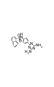 Nc1nc(N)nc(-c2ccc(NS(=O)(=O)c3cccc4ccccc34)cc2)n1